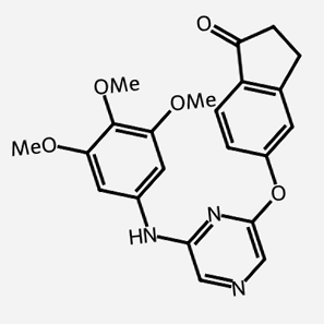 COc1cc(Nc2cncc(Oc3ccc4c(c3)CCC4=O)n2)cc(OC)c1OC